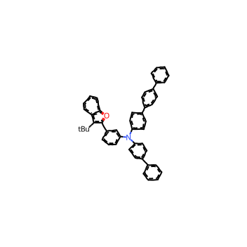 CC(C)(C)c1c(-c2cccc(N(c3ccc(-c4ccccc4)cc3)c3ccc(-c4ccc(-c5ccccc5)cc4)cc3)c2)oc2ccccc12